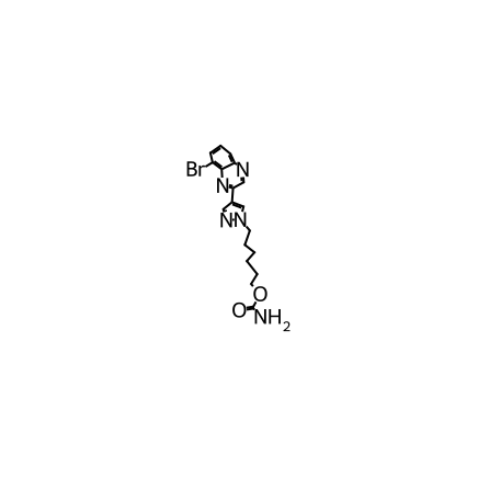 NC(=O)OCCCCCCn1cc(-c2cnc3cccc(Br)c3n2)cn1